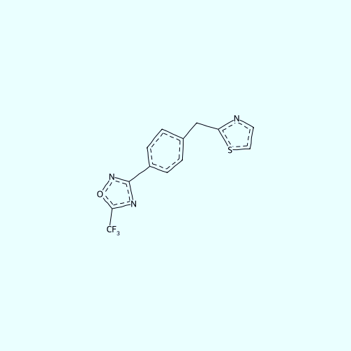 FC(F)(F)c1nc(-c2ccc(Cc3nccs3)cc2)no1